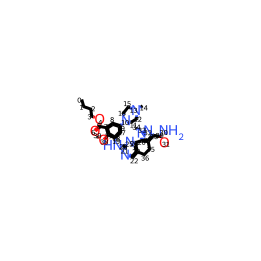 CCCCOC(=O)c1cc(N2CCN(C)CC2)cc(Nc2ncc3c(n2)-c2c(c(C(N)=O)nn2C)CC3)c1OC